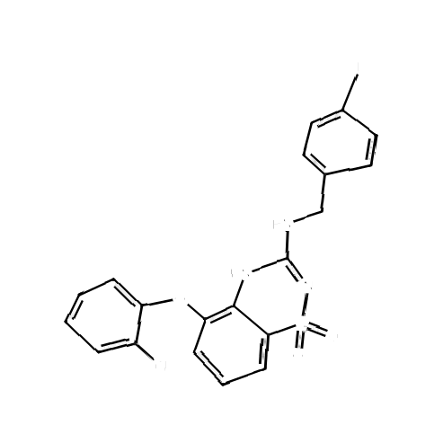 O=S1(=O)N=C(NCc2ccc(F)cc2)Nc2c(Oc3ccccc3Cl)cccc21